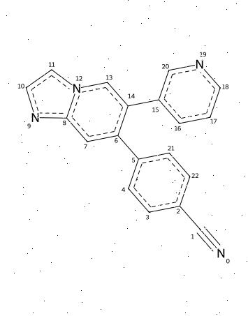 N#Cc1ccc(-c2cc3nccn3cc2-c2cccnc2)cc1